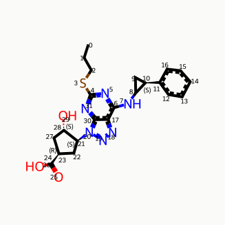 CCCSc1nc(NC2C[C@H]2c2ccccc2)c2nnn([C@H]3C[C@@H](C(=O)O)C[C@@H]3O)c2n1